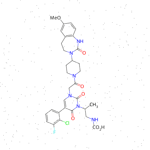 COc1ccc2c(c1)CCN(C1CCN(C(=O)Cn3cc(-c4cccc(F)c4Cl)c(=O)n(C(C)CNC(=O)O)c3=O)CC1)C(=O)N2